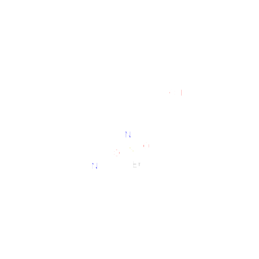 CCS(=O)(=O)N(Cc1cccnc1)c1ccc(O)cc1